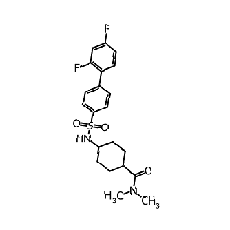 CN(C)C(=O)C1CCC(NS(=O)(=O)c2ccc(-c3ccc(F)cc3F)cc2)CC1